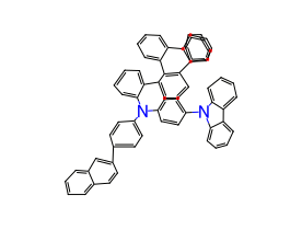 c1ccc(-c2ccccc2-c2c(-c3ccccc3)cccc2-c2ccccc2N(c2ccc(-c3ccc4ccccc4c3)cc2)c2ccc(-n3c4ccccc4c4ccccc43)cc2)cc1